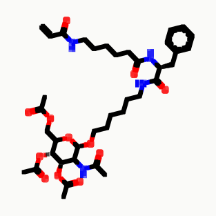 C=CC(=O)NCCCCCC(=O)N[C@@H](Cc1ccccc1)C(=O)NCCCCCCO[C@@H]1OC(COC(C)=O)[C@@H](OC(C)=O)[C@H](OC(C)=O)C1NC(C)=O